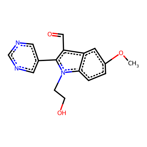 COc1ccc2c(c1)c(C=O)c(-c1cncnc1)n2CCO